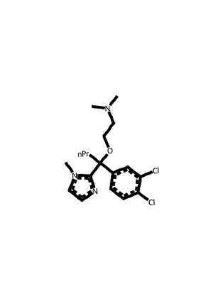 CCCC(OCCN(C)C)(c1ccc(Cl)c(Cl)c1)c1nccn1C